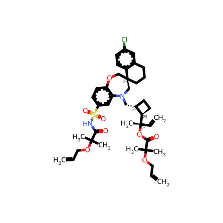 C=CCOC(C)(C)C(=O)NS(=O)(=O)c1ccc2c(c1)N(C[C@@H]1CC[C@H]1[C@](C)(C=C)OC(=O)C(C)(C)OCC=C)C[C@@]1(CCCc3cc(Cl)ccc31)CO2